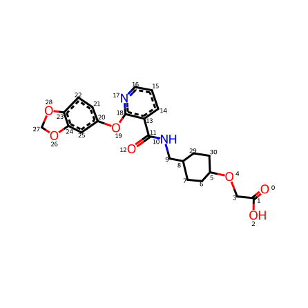 O=C(O)COC1CCC(CNC(=O)c2cccnc2Oc2ccc3c(c2)OCO3)CC1